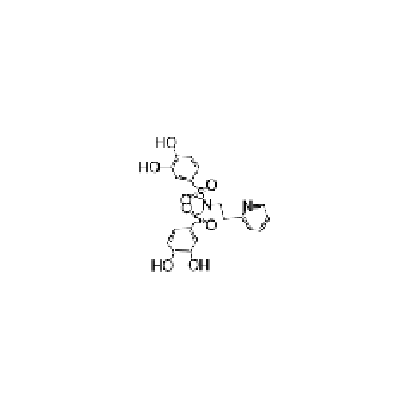 O=S(=O)(c1ccc(O)c(O)c1)N(CCc1ccccn1)S(=O)(=O)c1ccc(O)c(O)c1